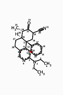 CCN(CC)c1ncc2c(n1)[C@@]1(c3ccccc3)CC(C#N)C(=O)[C@@H](C)[C@@H]1CC2